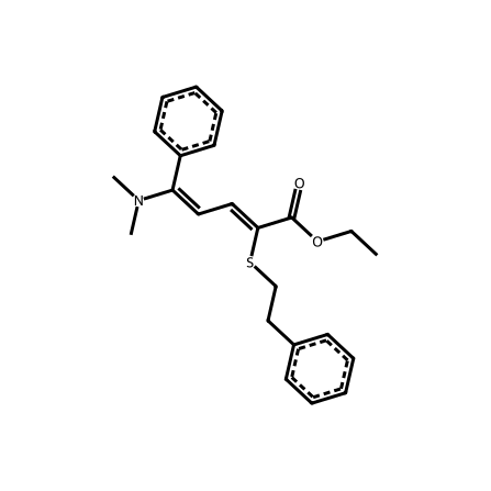 CCOC(=O)/C(=C/C=C(\c1ccccc1)N(C)C)SCCc1ccccc1